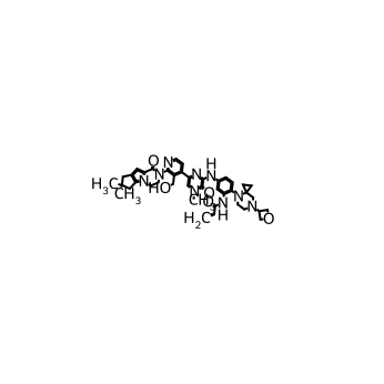 C=CC(=O)Nc1cc(Nc2nc(-c3ccnc(N4CCn5c(cc6c5CC(C)(C)C6)C4=O)c3CO)cn(C)c2=O)ccc1N1CCN(C2COC2)CC12CC2